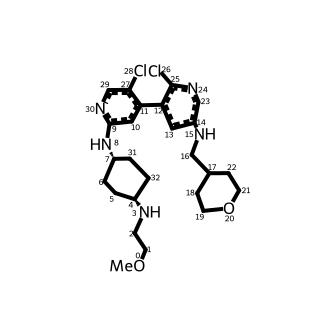 COCCN[C@H]1CC[C@H](Nc2cc(-c3cc(NCC4CCOCC4)cnc3Cl)c(Cl)cn2)CC1